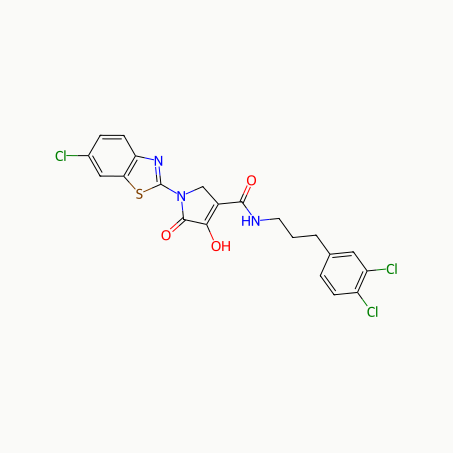 O=C(NCCCc1ccc(Cl)c(Cl)c1)C1=C(O)C(=O)N(c2nc3ccc(Cl)cc3s2)C1